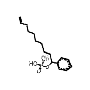 C=CCCCCCCCC(OP(=O)(O)O)c1ccccc1